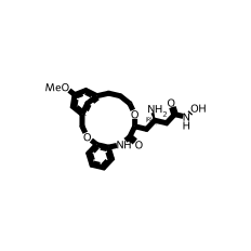 COc1cc2cc(c1)COc1ccccc1NC(=O)C(C[C@@H](N)CC(=O)NO)OCCC2